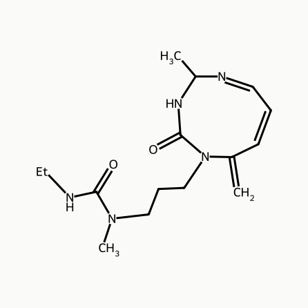 C=C1/C=C\C=N/C(C)NC(=O)N1CCCN(C)C(=O)NCC